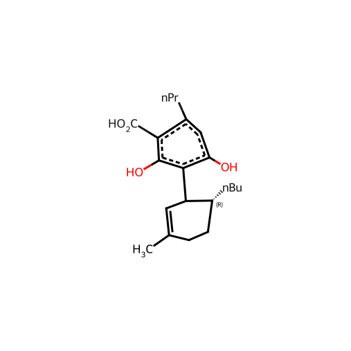 CCCC[C@@H]1CCC(C)=CC1c1c(O)cc(CCC)c(C(=O)O)c1O